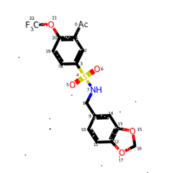 CC(=O)c1cc(S(=O)(=O)NCc2ccc3c(c2)OCO3)ccc1OC(F)(F)F